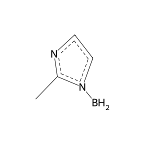 Bn1ccnc1C